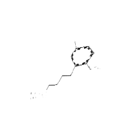 COCCCCc1cc(C)ccc1C(C)C